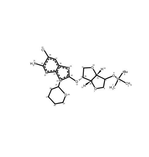 CC(C)(C)[Si](C)(C)OC1CO[C@H]2[C@@H]1OC[C@H]2Oc1nc2cc(Cl)c(N)nc2n1C1CCCCO1